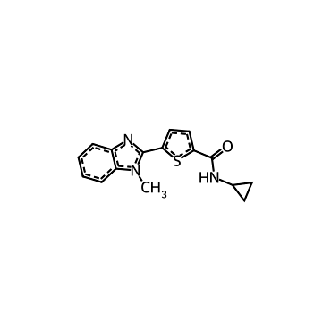 Cn1c(-c2ccc(C(=O)NC3CC3)s2)nc2ccccc21